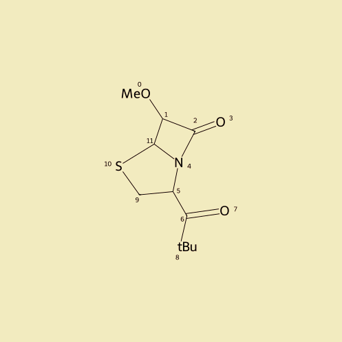 COC1C(=O)N2C(C(=O)C(C)(C)C)CSC12